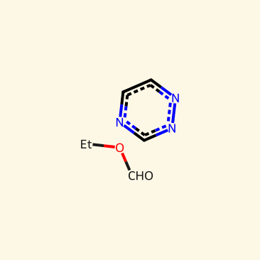 CCOC=O.c1cnncn1